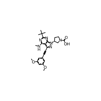 CNc1nc(C(C)(C)C)nc2c1c(C#Cc1cc(OC)cc(OC)c1)nn2[C@H]1CCN(C(=O)O)C1